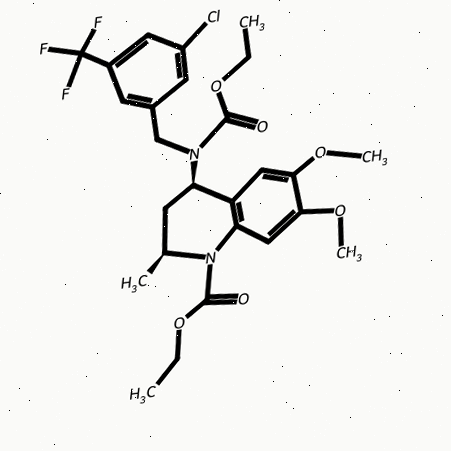 CCOC(=O)N(Cc1cc(Cl)cc(C(F)(F)F)c1)[C@@H]1C[C@H](C)N(C(=O)OCC)c2cc(OC)c(OC)cc21